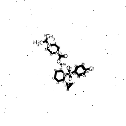 CC(C)N1CCN(C(=O)OC[C@H]2CCC[C@@H](C3CC3)N2S(=O)(=O)c2ccc(Cl)cc2)CC1